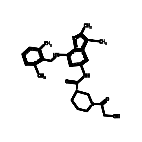 Cc1cccc(C)c1CNc1cc(NC(=O)[C@H]2CCCN(C(=O)CO)C2)cn2c(C)c(C)nc12